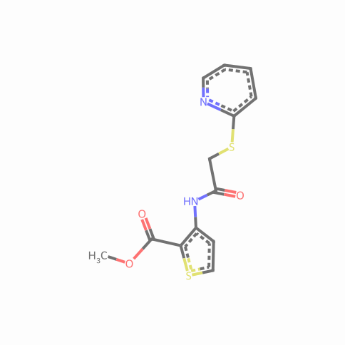 COC(=O)c1sccc1NC(=O)CSc1ccccn1